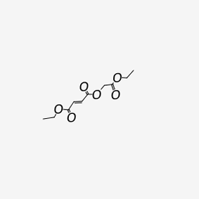 CCOC(=O)/C=C/C(=O)OCC(=O)OCC